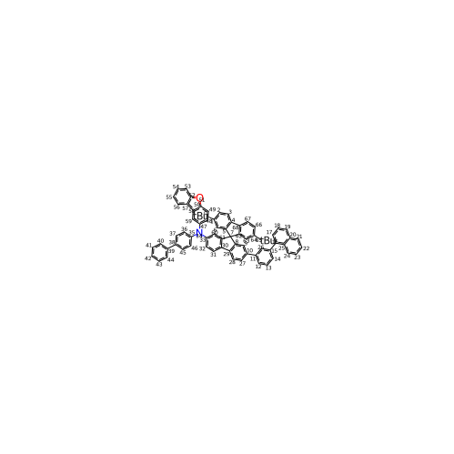 CC(C)(C)c1ccc2c(c1)C1(c3cc(-c4cccc(-c5cccc6ccccc56)c4)ccc3-c3ccc(N(c4ccc(-c5ccccc5)cc4)c4ccc5oc6ccccc6c5c4)cc31)c1cc(C(C)(C)C)ccc1-2